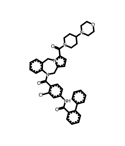 O=C(Nc1ccc(C(=O)N2Cc3ccc(C(=O)N4CCC(N5CCOCC5)CC4)n3Cc3ccccc32)c(Cl)c1)c1ccccc1-c1ccccc1